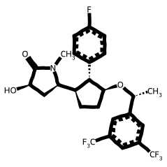 C[C@@H](O[C@H]1CC[C@@H]([C@H]2C[C@@H](O)C(=O)N2C)[C@@H]1c1ccc(F)cc1)c1cc(C(F)(F)F)cc(C(F)(F)F)c1